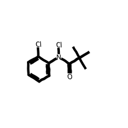 CC(C)(C)C(=O)N(Cl)c1ccccc1Cl